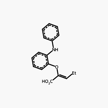 CC/C=C(\Oc1ccccc1Nc1ccccc1)C(=O)O